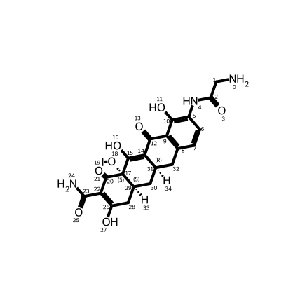 NCC(=O)Nc1ccc2c(c1O)C(=O)C1=C(O)[C@]3(OI)C(=O)C(C(N)=O)=C(O)C[C@@H]3C[C@@H]1C2